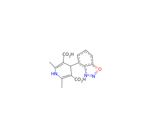 CC1=C(C(=O)O)C(c2cccc3onnc23)C(C(=O)O)=C(C)N1